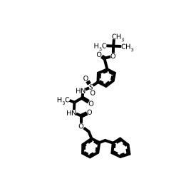 CC(NC(=O)OCc1ccccc1Cc1ccccc1)C(=O)NS(=O)(=O)c1cccc(C(=O)OC(C)(C)C)c1